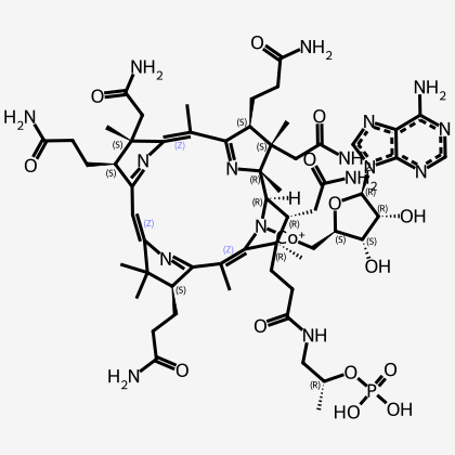 C/C1=C2/[N]([Co+][CH2][C@H]3O[C@@H](n4cnc5c(N)ncnc54)[C@H](O)[C@@H]3O)[C@H]([C@H](CC(N)=O)[C@@]2(C)CCC(=O)NC[C@@H](C)OP(=O)(O)O)[C@]2(C)N=C(/C(C)=C3N=C(/C=C4N=C1[C@@H](CCC(N)=O)C\4(C)C)[C@@H](CCC(N)=O)[C@]\3(C)CC(N)=O)[C@@H](CCC(N)=O)[C@]2(C)CC(N)=O